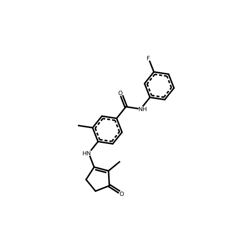 CC1=C(Nc2ccc(C(=O)Nc3cccc(F)c3)cc2C)CCC1=O